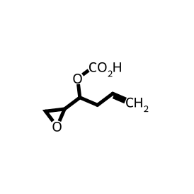 C=CCC(OC(=O)O)C1CO1